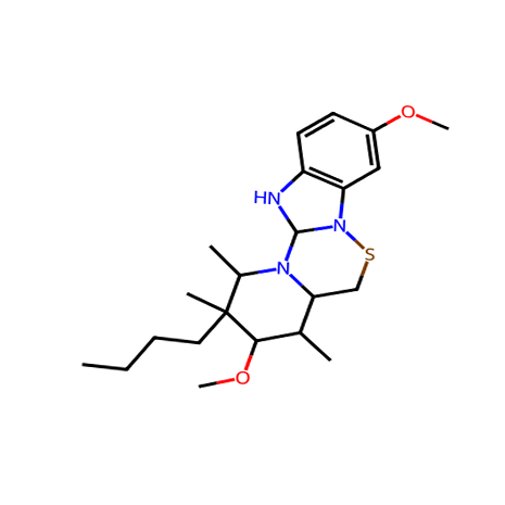 CCCCC1(C)C(OC)C(C)C2CSN3c4cc(OC)ccc4NC3N2C1C